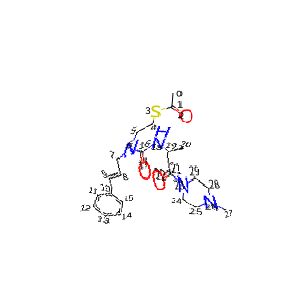 CC(=O)SCCN(CC=Cc1ccccc1)C(=O)N[C@@H](C)C(=O)N1CCN(C)CC1